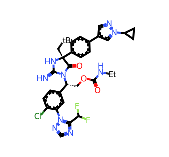 CCNC(=O)OC[C@H](c1ccc(Cl)c(-n2ncnc2C(F)F)c1)N1C(=N)N[C@](CC(C)(C)C)(c2ccc(-c3cnn(C4CC4)c3)cc2)C1=O